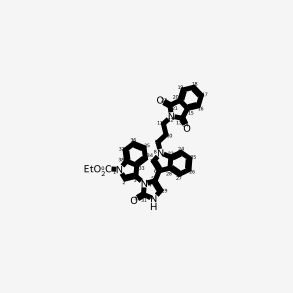 CCOC(=O)n1cc(-n2c(-c3cn(CCCN4C(=O)c5ccccc5C4=O)c4ccccc34)c[nH]c2=O)c2ccccc21